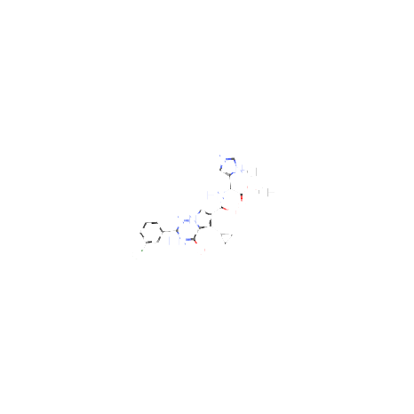 COC(=O)C(NC(=O)c1cn2nc(-c3cccc(Cl)c3)[nH]c(=O)c2c1C1CC1)c1cncn1C